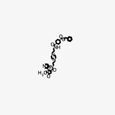 CN1C(=O)C[C@H](C(=O)NCCCN2CCN(CCCNC(=O)[C@H]3CC[C@@H](C(=O)OCc4ccccc4)CC3)CC2)[C@H]1c1cccnc1